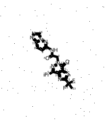 CC(C)c1nn(CC(=O)Nc2ccc3nncn3n2)c(=O)c2sc(C(C)(F)F)nc12